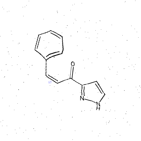 O=C(/C=C\c1ccccc1)c1cc[nH]n1